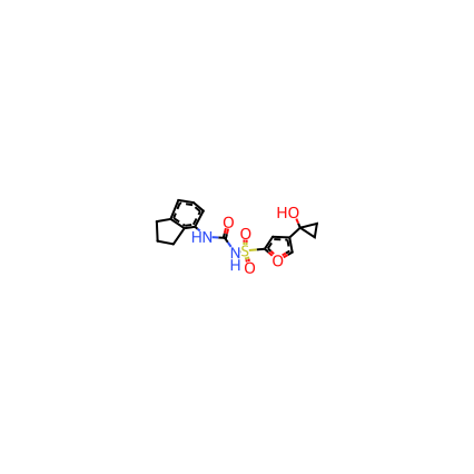 O=C(Nc1cccc2c1CCC2)NS(=O)(=O)c1cc(C2(O)CC2)co1